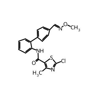 CO/N=C/c1ccc(-c2ccccc2NC(=O)c2sc(Cl)nc2C)cc1